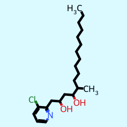 CCCCCCCCCCCC(C)C(O)CC(O)Cc1ncccc1Cl